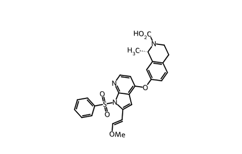 CO/C=C/c1cc2c(Oc3ccc4c(c3)[C@H](C)N(C(=O)O)CC4)ccnc2n1S(=O)(=O)c1ccccc1